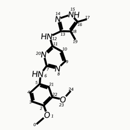 COc1ccc(Nc2nccc(Nc3n[nH]c(C)c3C)n2)cc1OC